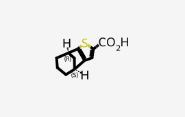 O=C(O)c1cc2c(s1)[C@@H]1CCC[C@H]2C1